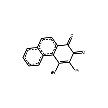 CC(C)C1=C(C(C)C)c2c(ccc3ccccc23)C(=O)C1=O